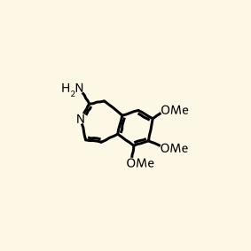 COc1cc2c(c(OC)c1OC)C=CN=C(N)C2